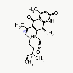 C=C[C@H](C)CCC/C=C(/C)C1=C(NC=C=O)C(=C)c2[nH]c(=O)cc(C)c2C1=O